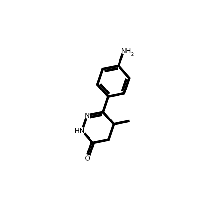 CC1CC(=O)NN=C1c1ccc(N)cc1